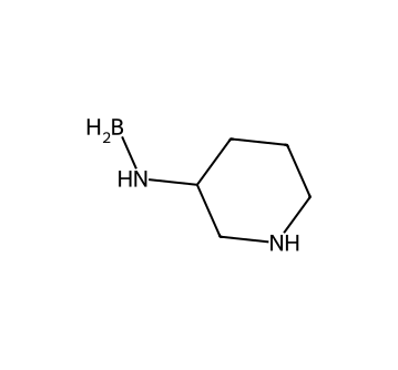 BNC1CCCNC1